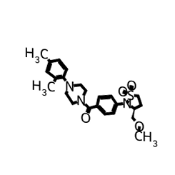 COC[C@@H]1CCS(=O)(=O)N1c1ccc(C(=O)N2CCN(c3ccc(C)cc3C)CC2)cc1